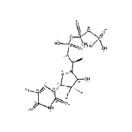 C[C@H](OP(=O)(O)OP(=O)(O)OP(=O)(O)O)[C@H]1O[C@@H](n2nc(F)c(=O)[nH]c2=O)[C@](C)(F)C1O